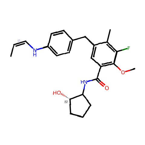 C/C=C\Nc1ccc(Cc2cc(C(=O)NC3CCC[C@@H]3O)c(OC)c(F)c2C)cc1